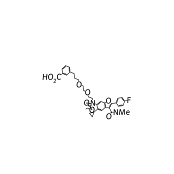 CNC(=O)c1c(-c2ccc(F)cc2)oc2cc(N(CCOCCOCCCc3cccc(C(=O)O)c3)S(C)(=O)=O)c(C3CC3)cc12